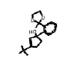 CC(C)(C)C1=CC(O)(c2ccccc2C2(C)OCCO2)CC1